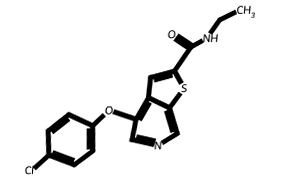 CCNC(=O)c1cc2c(Oc3ccc(Cl)cc3)cncc2s1